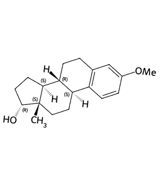 COc1ccc2c(c1)CC[C@@H]1[C@@H]2CC[C@]2(C)[C@H](O)CC[C@@H]12